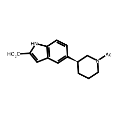 CC(=O)N1CCC[C@@H](c2ccc3[nH]c(C(=O)O)cc3c2)C1